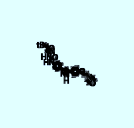 CC(C)(C)c1cc(NC(=O)Nc2ccc(-c3cc(-c4ccc(OCCN5CCOCC5)cc4)[nH]n3)cc2)no1